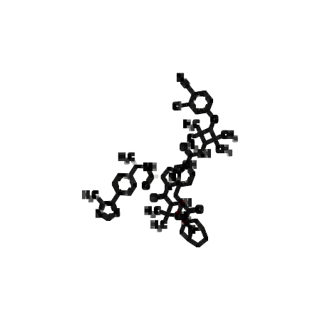 Cc1ncsc1-c1ccc([C@H](C)NC(=O)[C@@H]2C[C@@H](O)CN2C(=O)C(NC(=O)CN2C3CCC2CN(CCCc2ccc(C(=O)NC4C(C)(C)C(Oc5ccc(C#N)c(Cl)c5)C4(C)C)cn2)C3)C(C)(C)C)cc1